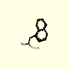 N#CC(Cc1cccc2ccccc12)C(=O)O